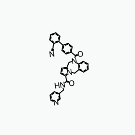 N#Cc1ccccc1-c1ccc(C(=O)N2Cc3ccc(C(=O)NCc4cccnc4)n3Cc3ccccc32)cc1